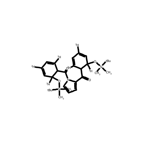 [2H]C1=CC([2H])(O[Si](C)(C)C(C)(C)C)C(C(=O)c2cccn2C(=O)C2C([2H])=CC([2H])=CC2([2H])O[Si](C)(C)C(C)(C)C)C([2H])=C1